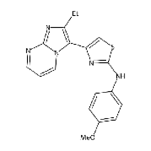 CCc1nc2ncccn2c1-c1csc(Nc2ccc(OC)cc2)n1